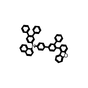 c1ccc(-c2ccc(N(c3ccc(-c4ccc(-c5cccc6oc7ccccc7c56)c(-c5ccccc5)c4)cc3)c3cccc4ccccc34)cc2-c2ccccc2)cc1